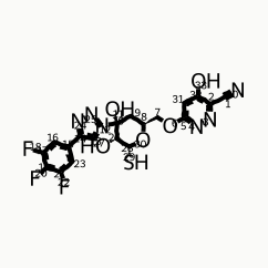 N#Cc1nnc(OC[C@@H]2C[C@@](O)(n3cc(-c4cc(F)c(F)c(F)c4)nn3)[C@@H](O)[C@@H](S)O2)cc1O